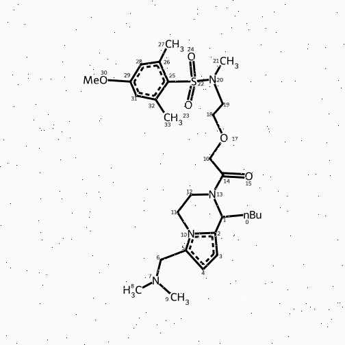 CCCCC1c2ccc(CN(C)C)n2CCN1C(=O)COCCN(C)S(=O)(=O)c1c(C)cc(OC)cc1C